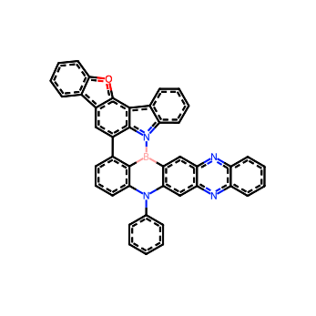 c1ccc(N2c3cc4nc5ccccc5nc4cc3B3c4c(cccc42)-c2cc4c5ccccc5oc4c4c5ccccc5n3c24)cc1